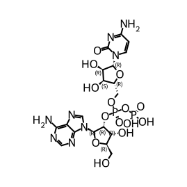 Nc1ccn([C@@H]2O[C@H](COP(=O)(O[C@@H]3[C@H](O)[C@@H](CO)O[C@H]3n3cnc4c(N)ncnc43)OP(=O)(O)O)[C@@H](O)[C@H]2O)c(=O)n1